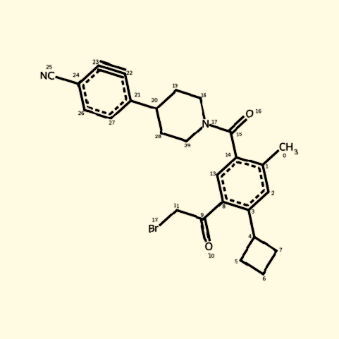 Cc1cc(C2CCC2)c(C(=O)CBr)cc1C(=O)N1CCC(c2c#cc(C#N)cc2)CC1